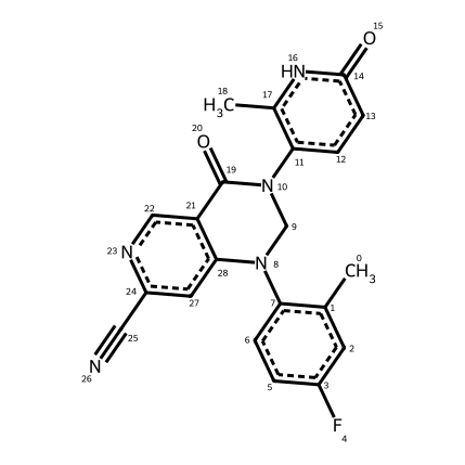 Cc1cc(F)ccc1N1CN(c2ccc(=O)[nH]c2C)C(=O)c2cnc(C#N)cc21